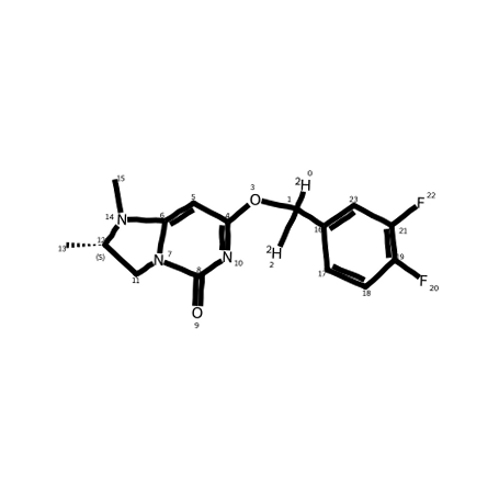 [2H]C([2H])(Oc1cc2n(c(=O)n1)C[C@H](C)N2C)c1ccc(F)c(F)c1